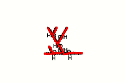 CCCCCCCCCCCNC(=O)CCCCCN(CCCCCCCC(=O)NC(CCCCCCCC)CCCCCCCC)CCNC(=O)CCC(=O)NCCN(CCCCCCCC(=O)NC(CCCCCCCC)CCCCCCCC)CCCCCC(=O)NCCCCCCCCCCC